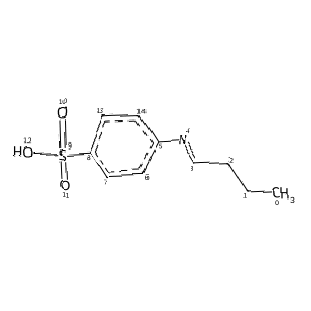 CCCC=Nc1ccc(S(=O)(=O)O)cc1